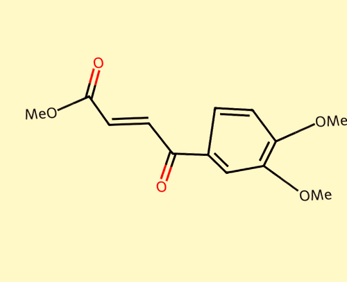 COC(=O)/C=C/C(=O)c1ccc(OC)c(OC)c1